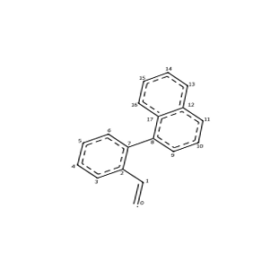 [CH]=Cc1ccccc1-c1cccc2ccccc12